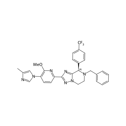 COc1nc(-c2nc3n(n2)CCN(Cc2ccccc2)[C@@H]3c2ccc(C(F)(F)F)cc2)ccc1-n1cnc(C)c1